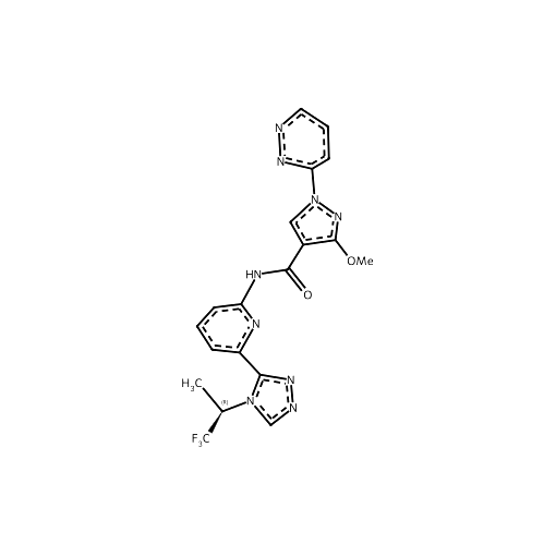 COc1nn(-c2cccnn2)cc1C(=O)Nc1cccc(-c2nncn2[C@H](C)C(F)(F)F)n1